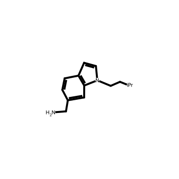 CC(C)CCn1ccc2ccc(CN)cc21